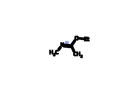 CCO/C(C)=N/C